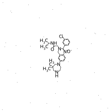 CC(C)NC(=O)CN1Cc2cc(N3CCNCC(C)(C)C3)ccc2[N+]([O-])=C1c1cccc(Cl)c1